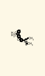 CCCC/C(=N\OC(C)=O)c1ccc2oc3cc4c(cc3c2c1)-c1ccccc1C4(C)C